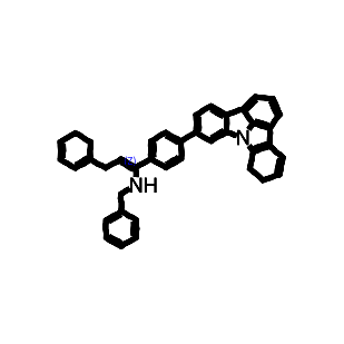 C1=CCCC(C/C=C(\NCc2ccccc2)c2ccc(-c3ccc4c5cccc6c7c(n(c4c3)c65)CCC=C7)cc2)=C1